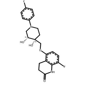 O=C1CCc2c(OC[C@]3(O)CCN(c4ccc(F)cc4)C[C@H]3O)ccc(F)c2N1